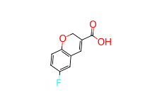 O=C(O)C1=Cc2cc(F)ccc2OC1